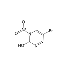 O=[N+]([O-])N1C=C(Br)C=NC1O